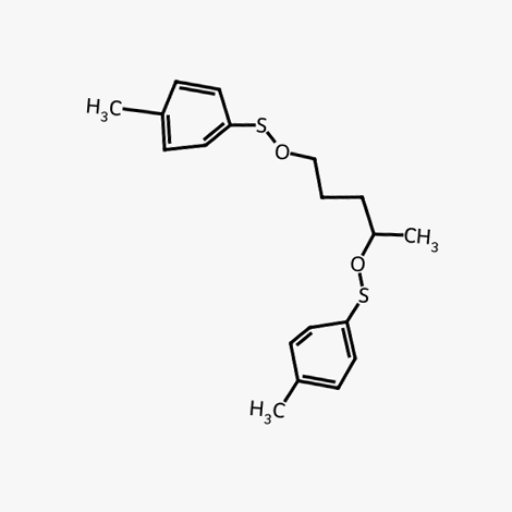 Cc1ccc(SOCCCC(C)OSc2ccc(C)cc2)cc1